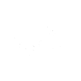 CCOc1cc([C@H](C)N2CC3(CCC3)c3c(CN4CCN(C)CC4)cc(Cn4ccnc4NC)cc3C2=O)ncc1C#N